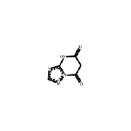 O=C1CC(=O)n2ncnc2N1